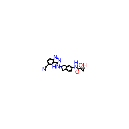 N#Cc1ccc2ncnc(NC3Cc4ccc(NC(=O)C5(O)CC5)cc4C3)c2c1